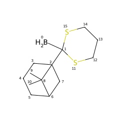 BC1(C23CCCC(C2)C3(C)C)SCCCS1